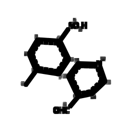 Cc1ccc(S(=O)(=O)O)cc1.O=Cc1ccncc1